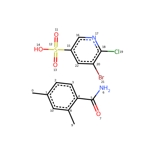 Cc1ccc(C(N)=O)c(C)c1.O=S(=O)(O)c1cnc(Cl)c(Br)c1